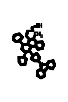 Cc1c(/C=C\C=CS)c2c(-c3ccccc3)cc(-c3ccccc3)c(-c3ccc(-n4c5ccccc5c5ccccc54)cc3)c2c2ccccc12